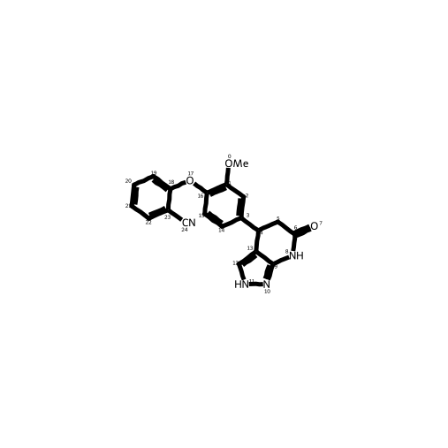 COc1cc(C2CC(=O)Nc3n[nH]cc32)ccc1Oc1ccccc1C#N